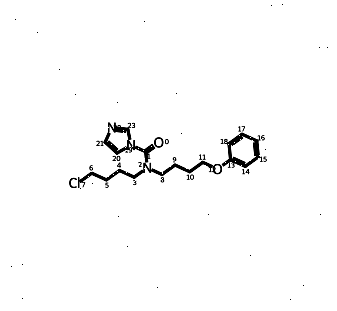 O=C(N(CCCCCl)CCCCOc1ccccc1)n1ccnc1